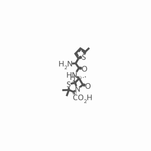 Cc1ccc(C(N)C(=O)N[C@@]2(C)C(=O)N3[C@@H](C(=O)O)C(C)(C)S[C@@H]32)s1